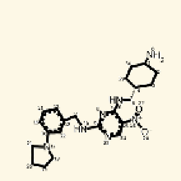 N[C@H]1CC[C@H](CNc2nc(NCc3cccc(N4CCCC4)c3)ncc2[N+](=O)[O-])CC1